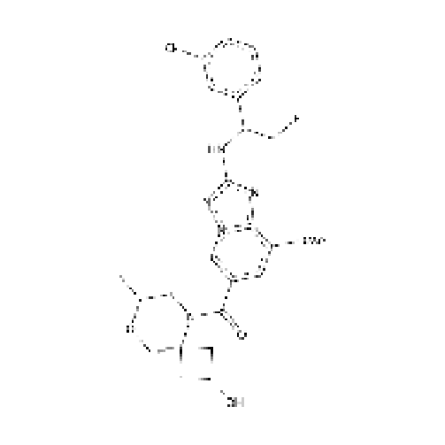 COc1cc(C(=O)N2CC(C)OC[C@]23C[C@@H](O)C3)cn2nc(NC(CF)c3cccc(Cl)c3)nc12